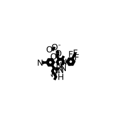 CC[N+](C)(C)CCc1cc(C#N)ccc1[C@@H]1C(C(=O)OC)=C(C)N(c2cccc(C(F)(F)F)c2)c2n[nH]c(=O)n21.O=C[O-]